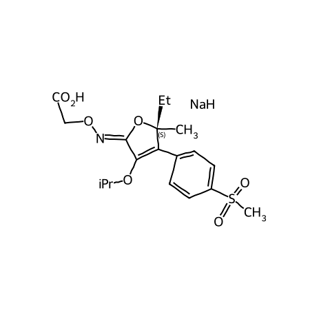 CC[C@]1(C)OC(=NOCC(=O)O)C(OC(C)C)=C1c1ccc(S(C)(=O)=O)cc1.[NaH]